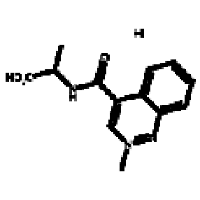 CC(NC(=O)c1c[n+](C)nc2ccccc12)C(=O)O.I